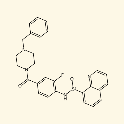 O=C(c1ccc(N[S+]([O-])c2cccc3cccnc23)c(F)c1)N1CCN(Cc2ccccc2)CC1